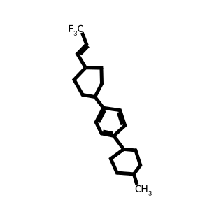 CC1CCC(c2ccc(C3CCC(C=CC(F)(F)F)CC3)cc2)CC1